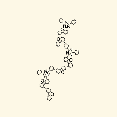 c1ccc(-c2nc(-c3ccc(-c4ccc(-c5cccc6oc7c(-c8nc(-c9ccccc9)nc(-c9ccccc9)n8)cccc7c56)c5oc6ccccc6c45)cc3)nc(-c3cccc4c3oc3cccc(-c5ccc6c(c5)oc5ccc(-c7cccc(-c8nc(-c9ccccc9)nc(-c9cccc%10c9oc9cccc(-c%11ccc%12oc%13ccccc%13c%12c%11)c9%10)n8)c7)cc56)c34)n2)cc1